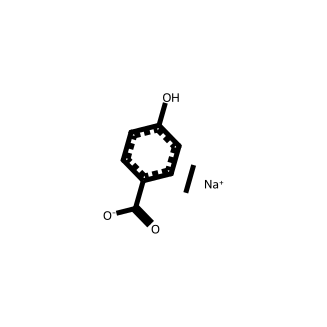 CC.O=C([O-])c1ccc(O)cc1.[Na+]